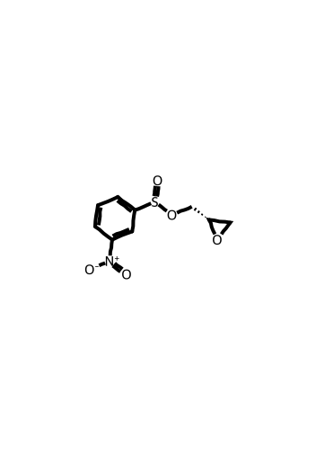 O=[N+]([O-])c1cccc(S(=O)OC[C@@H]2CO2)c1